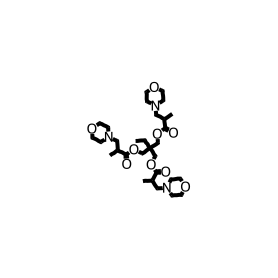 CCC(COC(=O)C(C)CN1CCOCC1)(COC(=O)C(C)CN1CCOCC1)COC(=O)C(C)CN1CCOCC1